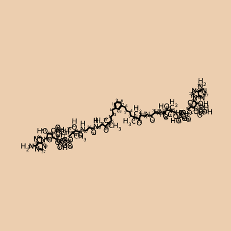 CC(C)(CCCCc1cccc(CCCCC(C)(C)C(=O)CCNC(=O)CCNC(=O)C(O)C(C)(C)COP(=O)(O)OP(=O)(O)OCC2OC(n3cnc4c(N)ncnc43)C(O)C2OP(=O)(O)O)c1)C(=O)CCNC(=O)CCNC(=O)C(O)C(C)(C)COP(=O)(O)OP(=O)(O)OCC1OC(n2cnc3c(N)ncnc32)C(O)C1OP(=O)(O)O